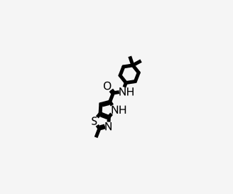 Cc1nc2[nH]c(C(=O)NC3CCC(C)(C)CC3)cc2s1